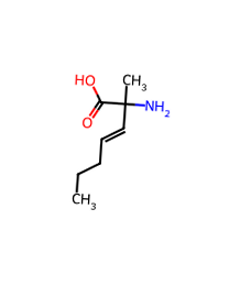 CCC/C=C/C(C)(N)C(=O)O